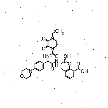 CCN1CCN(C(=O)NC(C(=O)N[C@H]2Cc3cccc(C(=O)O)c3OB2O)c2ccc(N3CCOCC3)cc2)C(=O)C1=O